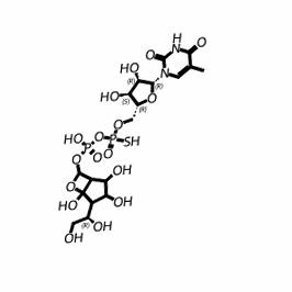 Cc1cn([C@@H]2O[C@H](COP(=O)(S)OP(=O)(O)OC3OC4(O)C3C(O)C(O)C4[C@@H](O)CO)[C@@H](O)[C@H]2O)c(=O)[nH]c1=O